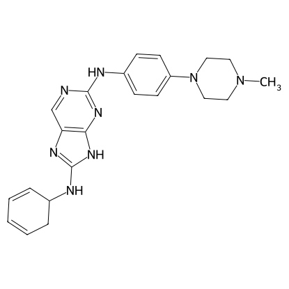 CN1CCN(c2ccc(Nc3ncc4nc(NC5C=CC=CC5)[nH]c4n3)cc2)CC1